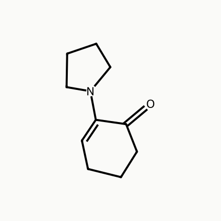 O=C1CCCC=C1N1CCCC1